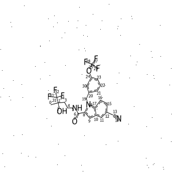 CC(O)(CCNC(=O)c1cc2cc(C#N)ccc2n1Cc1cccc(OC(F)(F)F)c1)C(F)(F)F